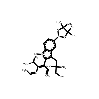 C=C/C(=C(\N=C/C)[C@H](C)OC)c1c(CC(C)(C)CO)c2cc(B3OC(C)(C)C(C)(C)O3)ccc2n1CC